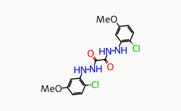 COc1ccc(Cl)c(NNC(=O)C(=O)NNc2cc(OC)ccc2Cl)c1